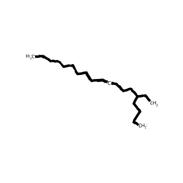 [CH2]CCCCCCCCCCCCCC(CC)CCC[CH2]